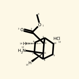 COC(=O)[C@H]1C2CCC(CC2)[C@@H]1N.Cl